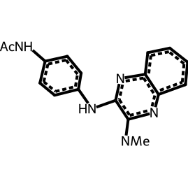 CNc1nc2ccccc2nc1Nc1ccc(NC(C)=O)cc1